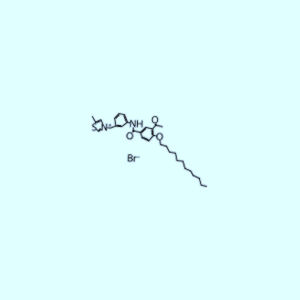 CCCCCCCCCCCCOc1ccc(C(=O)Nc2cccc(C[n+]3csc(C)c3)c2)cc1C(C)=O.[Br-]